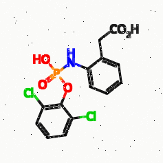 O=C(O)Cc1ccccc1NP(=O)(O)Oc1c(Cl)cccc1Cl